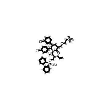 C=CC[C@@H](CO[Si](c1ccccc1)(c1ccccc1)C(C)(C)C)[C@@H](C)N1C(=O)C(COCC[Si](C)(C)C)CC(c2cccc(Cl)c2)C1c1ccc(Cl)cc1